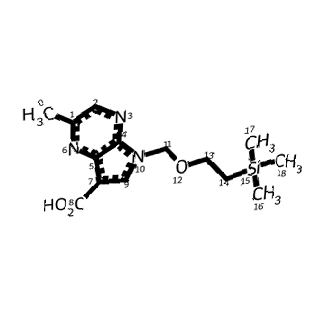 Cc1cnc2c(n1)c(C(=O)O)cn2COCC[Si](C)(C)C